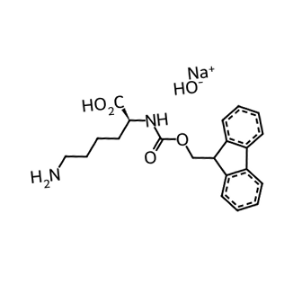 NCCCC[C@H](NC(=O)OCC1c2ccccc2-c2ccccc21)C(=O)O.[Na+].[OH-]